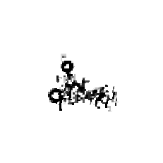 CC(C)C(NC(=O)Cc1nc(-c2ccc(F)cc2)[nH]c(=O)c1NS(=O)(=O)NC1CCCCC1)B1OC(C)(C)C(C)(C)O1